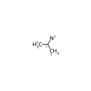 [CH2]C(C)[N]